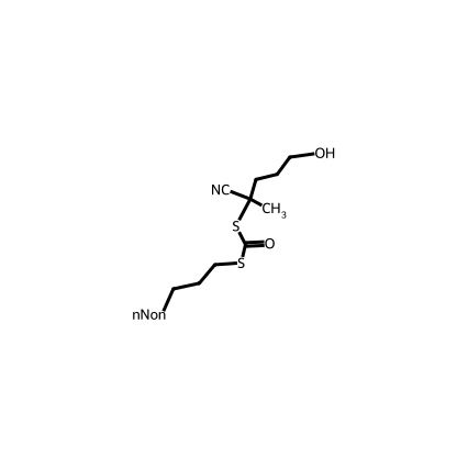 CCCCCCCCCCCCSC(=O)SC(C)(C#N)CCCO